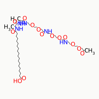 CC(=O)COCCOCCNC(=O)COCCOCCNC(=O)COCCOCCNC(=O)C(C)NC(=O)C(C)NC(=O)CCCCCCCCCCCCCCCCCCC(=O)O